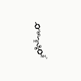 Cc1ccc(SOOCCNCCS(=O)(=O)c2ccc(N)cc2)cc1